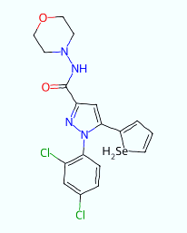 O=C(NN1CCOCC1)c1cc(C2=CC=C[SeH2]2)n(-c2ccc(Cl)cc2Cl)n1